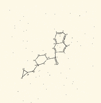 O=C(c1cnc2ccccc2c1)C1CCCN(CC2CC2)C1